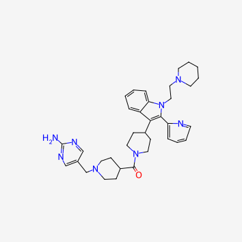 Nc1ncc(CN2CCC(C(=O)N3CCC(c4c(-c5ccccn5)n(CCN5CCCCC5)c5ccccc45)CC3)CC2)cn1